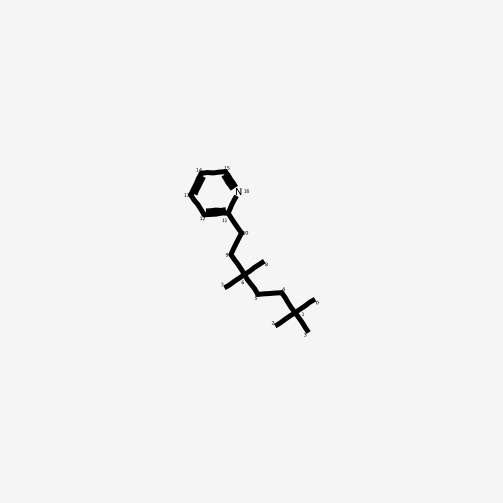 CC(C)(C)CCC(C)(C)CCc1ccccn1